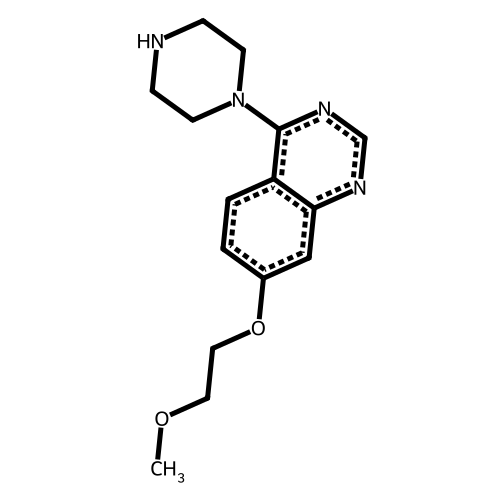 COCCOc1ccc2c(N3CCNCC3)ncnc2c1